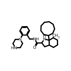 CC1CCCC2CC(C(=O)NCc3ccccc3N3CCNCC3)NC12C1CCCCCCCC1